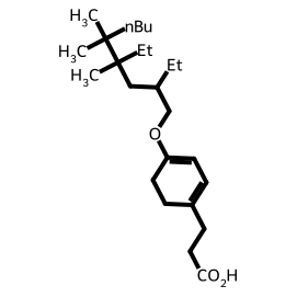 CCCCC(C)(C)C(C)(CC)CC(CC)COC1=CC=C(CCC(=O)O)CC1